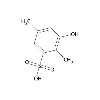 Cc1cc(O)c(C)c(S(=O)(=O)O)c1